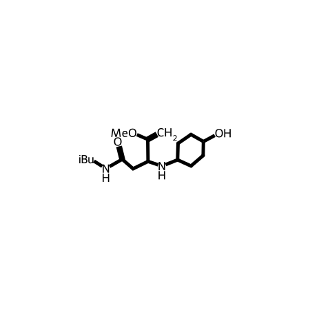 C=C(OC)C(CC(=O)NC(C)CC)NC1CCC(O)CC1